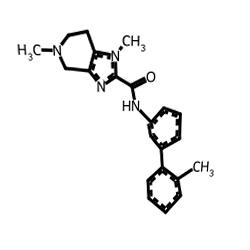 Cc1ccccc1-c1cccc(NC(=O)c2nc3c(n2C)CCN(C)C3)c1